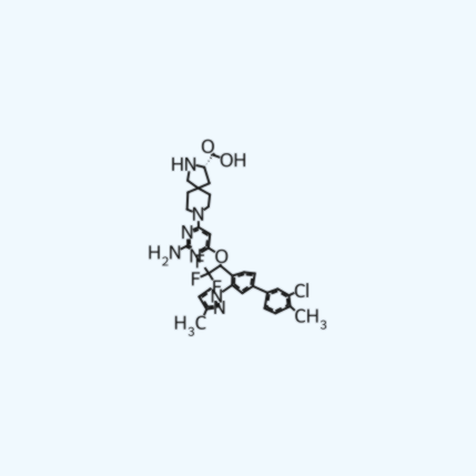 Cc1ccn(-c2cc(-c3ccc(C)c(Cl)c3)ccc2[C@@H](Oc2cc(N3CCC4(CC3)CN[C@H](C(=O)O)C4)nc(N)n2)C(F)(F)F)n1